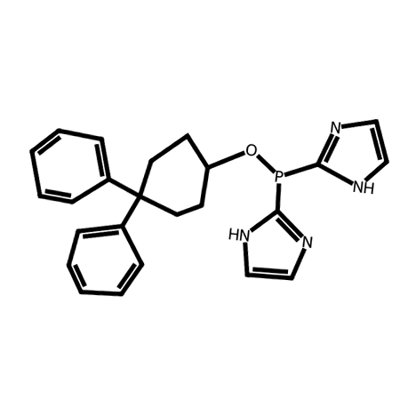 c1ccc(C2(c3ccccc3)CCC(OP(c3ncc[nH]3)c3ncc[nH]3)CC2)cc1